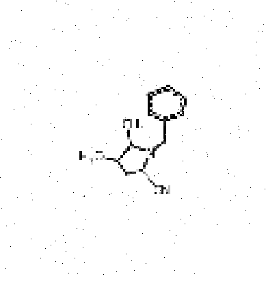 CC1C[C@@H](C#N)N(Cc2ccccc2)C1C